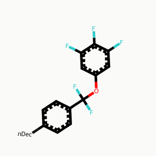 CCCCCCCCCCc1ccc(C(F)(F)Oc2cc(F)c(F)c(F)c2)cc1